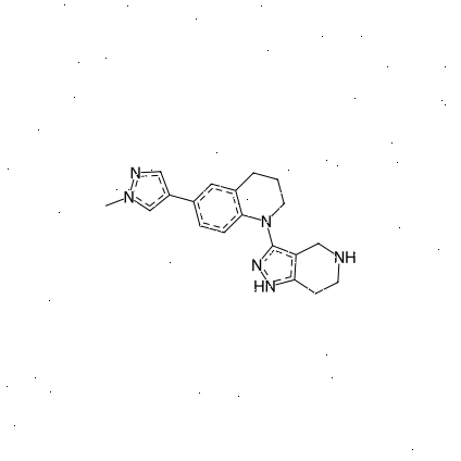 Cn1cc(-c2ccc3c(c2)CCCN3c2n[nH]c3c2CNCC3)cn1